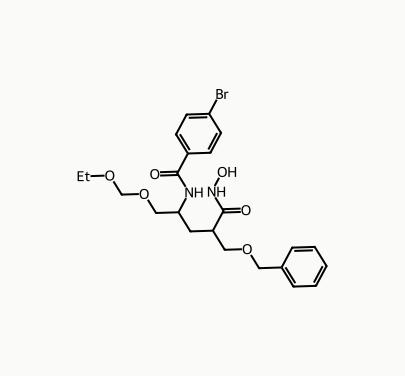 CCOCOCC(CC(COCc1ccccc1)C(=O)NO)NC(=O)c1ccc(Br)cc1